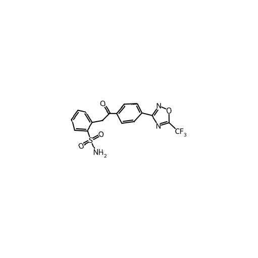 NS(=O)(=O)c1ccccc1CC(=O)c1ccc(-c2noc(C(F)(F)F)n2)cc1